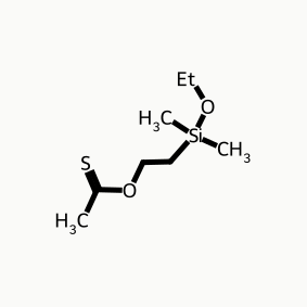 CCO[Si](C)(C)CCOC(C)=S